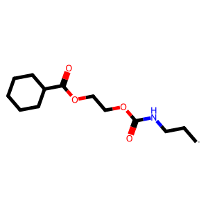 [CH2]CCNC(=O)OCCOC(=O)C1CCCCC1